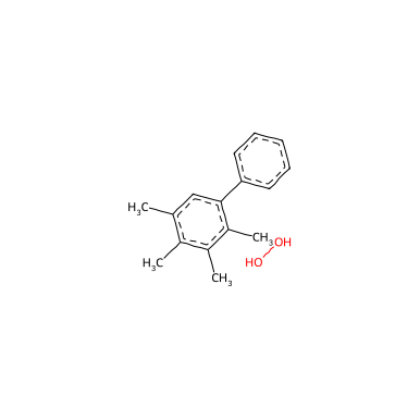 Cc1cc(-c2ccccc2)c(C)c(C)c1C.OO